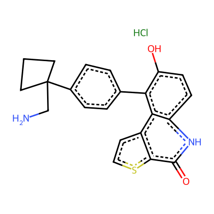 Cl.NCC1(c2ccc(-c3c(O)ccc4[nH]c(=O)c5sccc5c34)cc2)CCC1